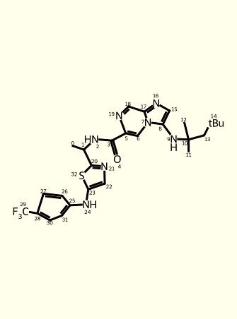 CC(NC(=O)c1cn2c(NC(C)(C)CC(C)(C)C)cnc2cn1)c1ncc(Nc2ccc(C(F)(F)F)cc2)s1